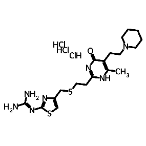 Cc1[nH]c(CCSCc2csc(N=C(N)N)n2)nc(=O)c1CCN1CCCCC1.Cl.Cl.Cl